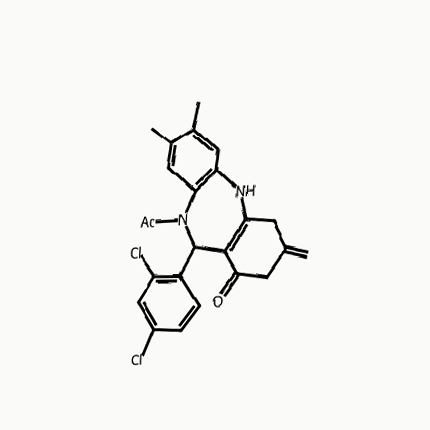 C=C1CC(=O)C2=C(C1)Nc1cc(C)c(C)cc1N(C(C)=O)C2c1ccc(Cl)cc1Cl